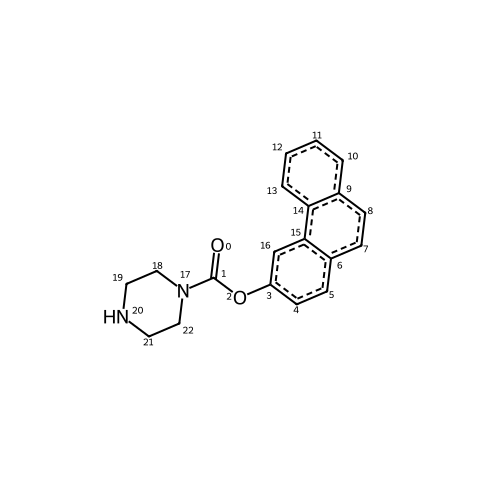 O=C(Oc1ccc2ccc3ccccc3c2c1)N1CCNCC1